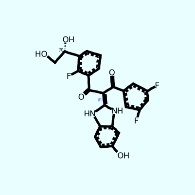 O=C(/C(C(=O)c1cccc([C@@H](O)CO)c1F)=C1/Nc2ccc(O)cc2N1)c1cc(F)cc(F)c1